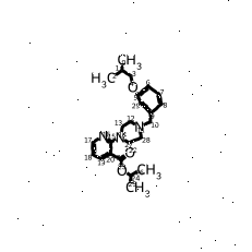 CC(C)COc1cccc(CN2CCN(c3ncccc3C(=O)OC(C)C)CC2)c1